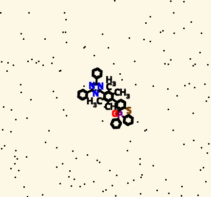 Cc1c(C)c(-c2nc(-c3ccccc3)nc(-c3ccccc3)n2)c(C)c(C)c1-c1ccc2c(c1)P(=O)(c1ccccc1)c1ccccc1S2